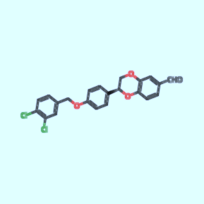 O=Cc1ccc2c(c1)OC[C@H](c1ccc(OCc3ccc(Cl)c(Cl)c3)cc1)O2